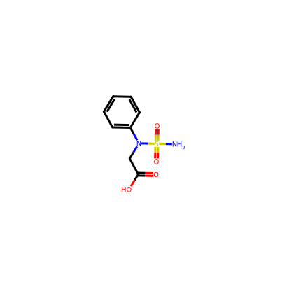 NS(=O)(=O)N(CC(=O)O)c1ccccc1